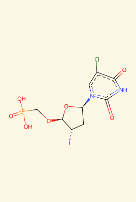 O=c1[nH]c(=O)n([C@H]2C[C@H](I)[C@@H](OCP(=O)(O)O)O2)cc1Cl